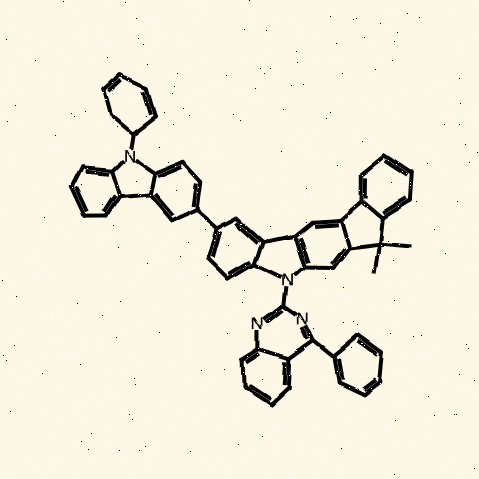 CC1(C)c2ccccc2-c2cc3c4cc(-c5ccc6c(c5)c5ccccc5n6C5C=CC=CC5)ccc4n(-c4nc(-c5ccccc5)c5ccccc5n4)c3cc21